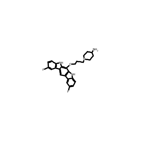 NC1CCN(CCCOc2c3[nH]c4ccc(F)cc4c3cc3c2[nH]c2ccc(F)cc23)CC1